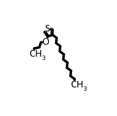 CCCCCCCCCCCCc1cscc1OCCCC